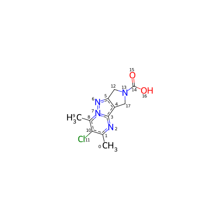 Cc1nc2c3c(nn2c(C)c1Cl)CN(C(=O)O)C3